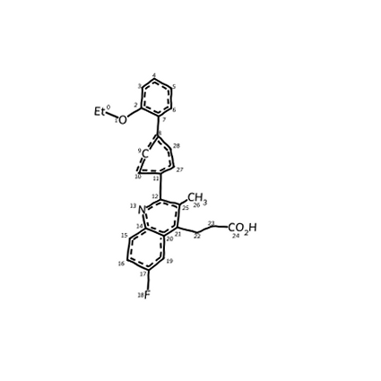 CCOc1ccccc1-c1ccc(-c2nc3ccc(F)cc3c(CCC(=O)O)c2C)cc1